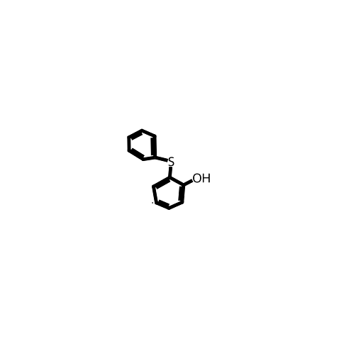 Oc1cc[c]cc1Sc1ccccc1